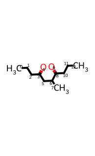 CCCC(=O)CC(C)C(=O)CCC